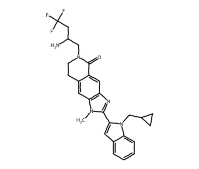 Cn1c(-c2cc3ccccc3n2CC2CC2)nc2cc3c(cc21)CCN(CC(N)CC(F)(F)F)C3=O